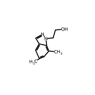 Cc1cc(C)c2c(cnn2CCO)c1